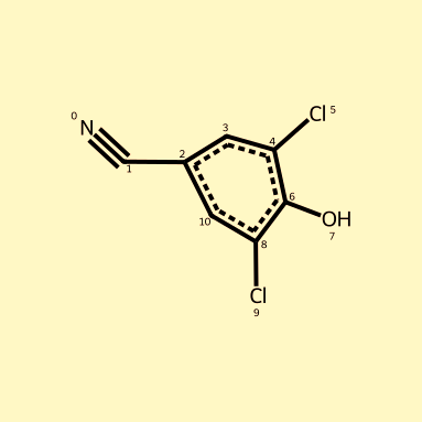 N#Cc1cc(Cl)c(O)c(Cl)c1